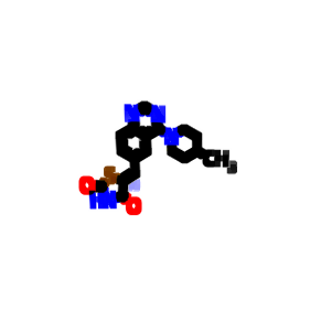 CC1CCN(c2ncnc3ccc(/C=C4\SC(=O)NC4=O)cc23)CC1